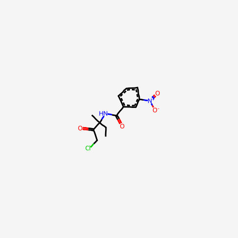 CCC(C)(NC(=O)c1cccc([N+](=O)[O-])c1)C(=O)CCl